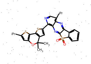 CC(C)c1cc2c(s1)-c1sc(-c3ncc(C(C)C)c4nc5c(nc34)S(=O)(=O)c3ccccc3-5)cc1C(C)(C)O2